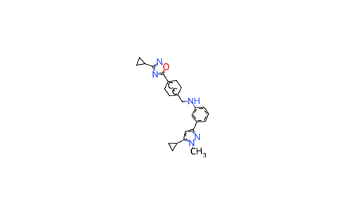 Cn1nc(-c2cccc(NCC34CCC(c5nc(C6CC6)no5)(CC3)CC4)c2)cc1C1CC1